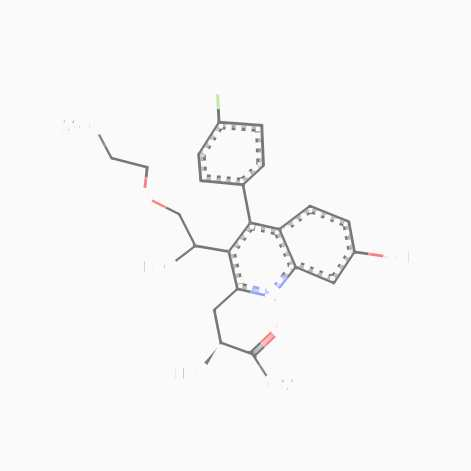 COCCOCC(C)c1c(C[C@H](C)C(=O)OC)nc2cc(O)ccc2c1-c1ccc(F)cc1